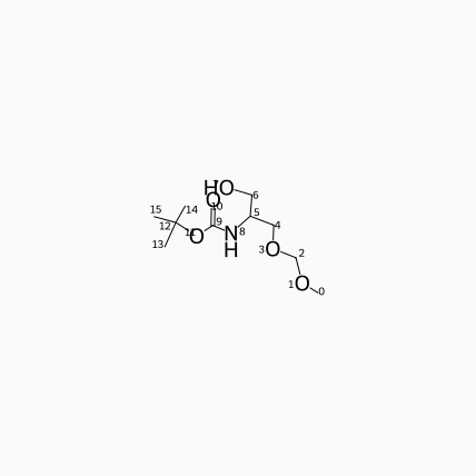 COCOCC(CO)NC(=O)OC(C)(C)C